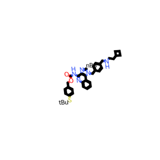 CCCCc1nc2c(NC(=O)OCc3ccc(SC(C)(C)C)cc3)nc3ccccc3c2n1Cc1ccc(CNCCC2CCC2)cc1